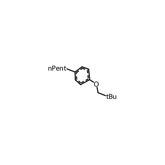 CCCCCc1ccc(OCC(C)(C)C)cc1